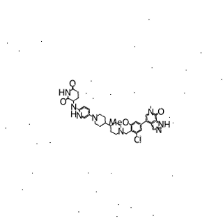 COc1cc(-c2cn(C)c(=O)c3[nH]ncc23)cc(Cl)c1CN1CCC(C2CCN(c3ccc(NC4CCC(=O)NC4=O)nc3)CC2)CC1